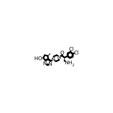 C[C@@H]1C[C@@H](O)c2ncnc(N3CCN(C(=O)[C@H](CN)c4ccc(Cl)c(Cl)c4)CC3)c21